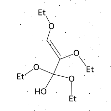 CCOC=C(OCC)C(O)(OCC)OCC